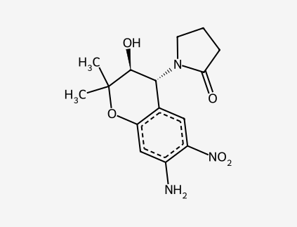 CC1(C)Oc2cc(N)c([N+](=O)[O-])cc2[C@@H](N2CCCC2=O)[C@@H]1O